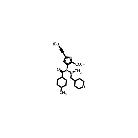 CC1CCC(C(=O)N(c2cc(C#CC(C)(C)C)sc2C(=O)O)N(C)CC2CCOCC2)CC1